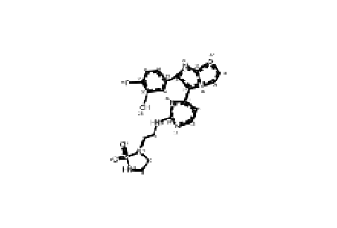 O=S1(=O)NCCN1CCNc1nccc(-c2c(-c3ccc(F)c(O)c3)nc3occn23)n1